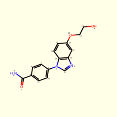 NC(=O)c1ccc(-n2cnc3cc(OCCO)ccc32)cc1